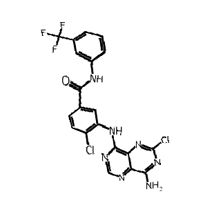 Nc1nc(Cl)nc2c(Nc3cc(C(=O)Nc4cccc(C(F)(F)F)c4)ccc3Cl)ncnc12